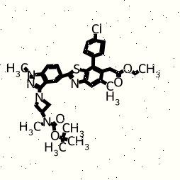 CCOC(=O)Cc1c(C)cc2nc(-c3ccc4c(c3)c(N3CC(N(C)C(=O)OC(C)(C)C)C3)nn4C)sc2c1-c1ccc(Cl)cc1